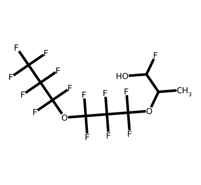 CC(OC(F)(F)C(F)(F)C(F)(F)OC(F)(F)C(F)(F)C(F)(F)F)C(O)F